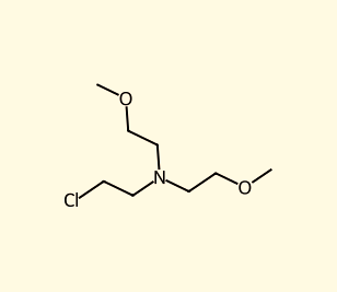 COCCN(CCCl)CCOC